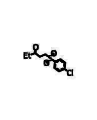 CCC(=O)CCS(=O)(=O)c1ccc(Cl)cc1